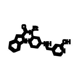 CCN(C(=O)c1cc2ccccc2[nH]1)[C@H]1CCC[C@@H](NCc2ccnc(O)c2)C1